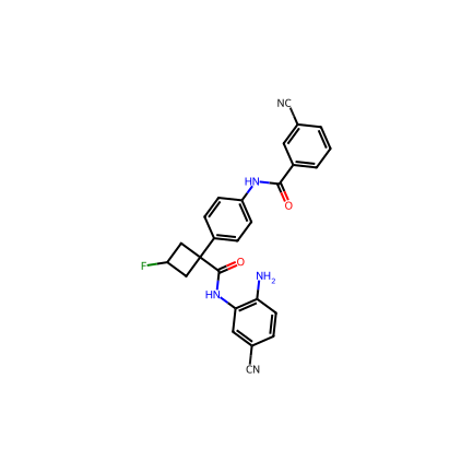 N#Cc1cccc(C(=O)Nc2ccc(C3(C(=O)Nc4cc(C#N)ccc4N)CC(F)C3)cc2)c1